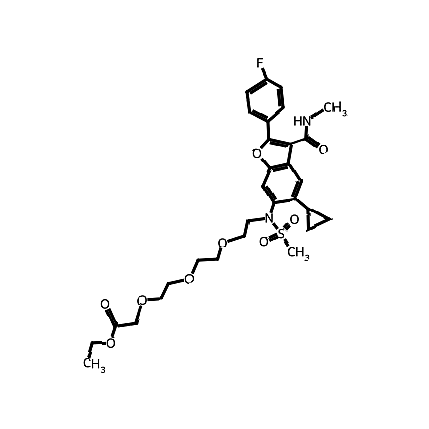 CCOC(=O)COCCOCCOCCN(c1cc2oc(-c3ccc(F)cc3)c(C(=O)NC)c2cc1C1CC1)S(C)(=O)=O